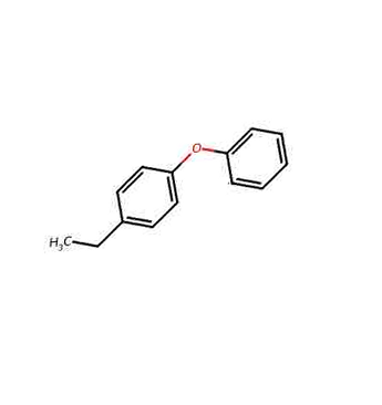 CCc1ccc(Oc2[c]cccc2)cc1